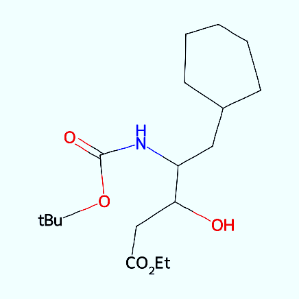 CCOC(=O)CC(O)C(CC1CCCCC1)NC(=O)OC(C)(C)C